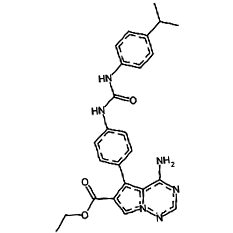 CCOC(=O)c1cn2ncnc(N)c2c1-c1ccc(NC(=O)Nc2ccc(C(C)C)cc2)cc1